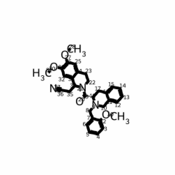 COc1ccccc1CN1Cc2ccccc2C[C@H]1C(=O)N1CCc2cc(OC)c(OC)cc2C1CC#N